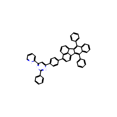 c1ccc(-c2nc(-c3ccc(-c4ccc5c6c(cccc46)-c4c-5c(-c5ccccc5)c5ccccc5c4-c4ccccc4)cc3)cc(-c3ccccn3)n2)cc1